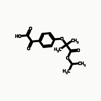 CC(C)OC(=O)C(C)(C)Oc1ccc(C(=O)C(=O)O)cc1